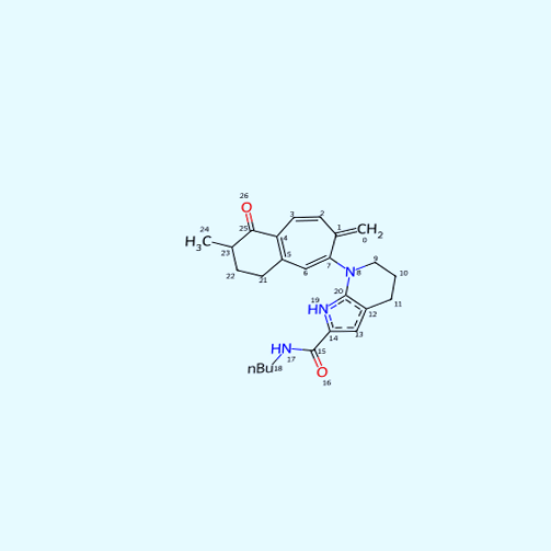 C=C1C=CC2=C(C=C1N1CCCc3cc(C(=O)NCCCC)[nH]c31)CCC(C)C2=O